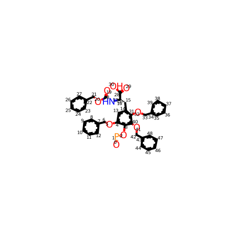 O=POc1c(OCc2ccccc2)cc(C[C@H](NC(=O)OCc2ccccc2)C(=O)O)c(OCc2ccccc2)c1OCc1ccccc1